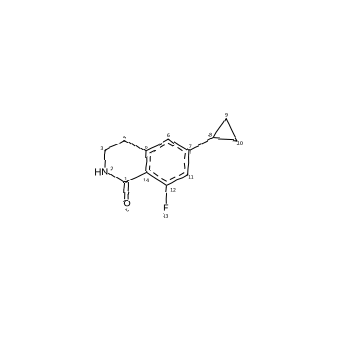 O=C1NCCc2cc(C3CC3)cc(F)c21